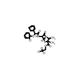 C=C1N2C(=O)C(NC(=O)C(Oc3ccccc3Cl)c3ccccc3)[C@H]2SC1(C)C(=O)OCC(Cl)(Cl)Cl